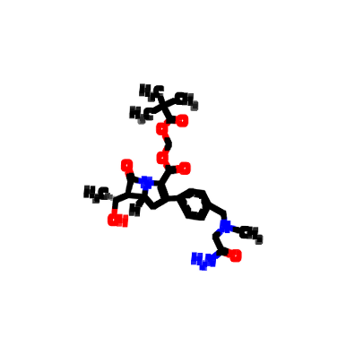 C[C@@H](O)[C@H]1C(=O)N2C(C(=O)OCOC(=O)C(C)(C)C)=C(c3ccc(CN(C)CC(N)=O)cc3)C[C@H]12